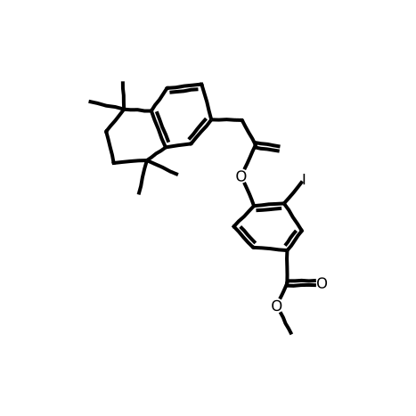 C=C(Cc1ccc2c(c1)C(C)(C)CCC2(C)C)Oc1ccc(C(=O)OC)cc1I